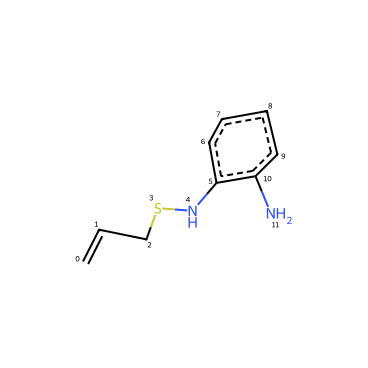 C=CCSNc1ccccc1N